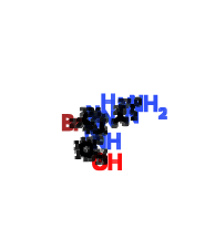 Nc1ncc(CNc2cc(N[C@@H]3CCCC[C@@H]3CO)nc3c(Br)cnn23)cn1